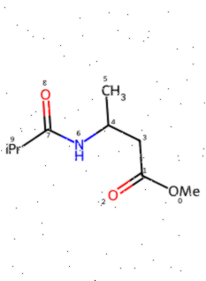 COC(=O)CC(C)NC(=O)C(C)C